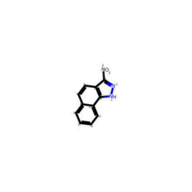 O=[N+]([O-])c1n[nH]c2c1ccc1ccccc12